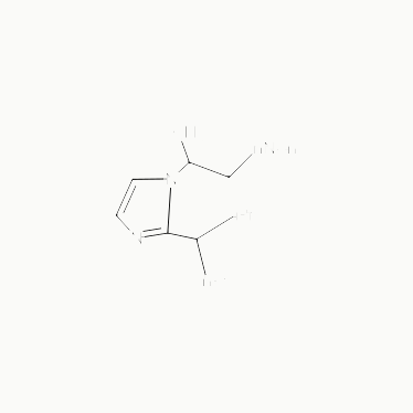 CCCCCCCCCCC(C)n1ccnc1C(CCC)C(C)C